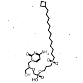 Nc1ccn(CC(CO)OCP(=O)(O)OCCCS(=O)(=O)CCCCCCCCCCCCCC2CCC2)c(=O)n1